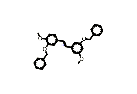 COc1cc(/C=C/c2ccc(OC)c(OCc3ccccc3)c2)cc(OCc2ccccc2)c1